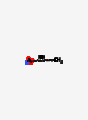 CCCCCCCCCCCCCCCCCCOC(=O)C(C#N)C=O.[KH]